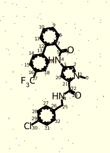 Cn1cc(NC(=O)c2ccccc2-c2ccc(C(F)(F)F)cc2)cc1C(=O)NCc1ccc(Cl)cc1